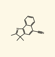 CC1=Nc2c(cc(C#N)c3ccccc23)C1(C)C